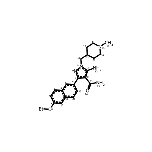 CCOc1ccc2cc(-c3nn(CC4CCN(C)CC4)c(N)c3C(N)=O)ccc2c1